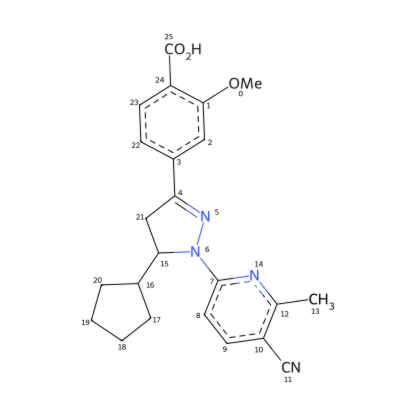 COc1cc(C2=NN(c3ccc(C#N)c(C)n3)C(C3CCCC3)C2)ccc1C(=O)O